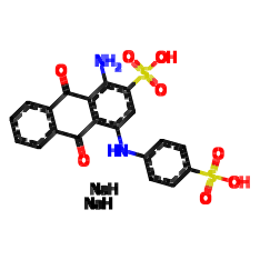 Nc1c(S(=O)(=O)O)cc(Nc2ccc(S(=O)(=O)O)cc2)c2c1C(=O)c1ccccc1C2=O.[NaH].[NaH]